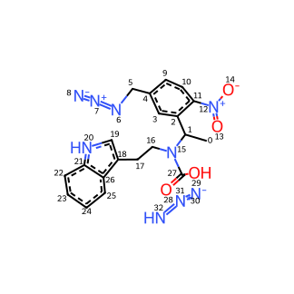 CC(c1cc(CN=[N+]=[N-])ccc1[N+](=O)[O-])N(CCc1c[nH]c2ccccc12)C(=O)O.[N-]=[N+]=N